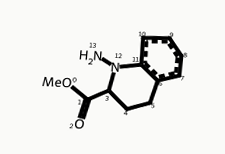 COC(=O)C1CCc2ccccc2N1N